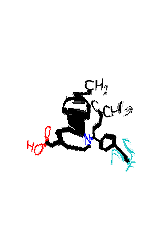 C=CCc1ccc(C2CC(CC(=O)O)CCN2C(CCC(C)C)c2ccc(C(F)(F)F)cc2)cc1